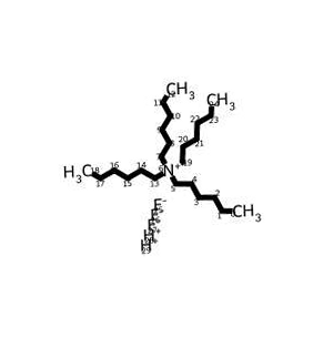 CCCCCC[N+](CCCCCC)(CCCCCC)CCCCCC.[F-].[F-].[F-].[H+].[H+]